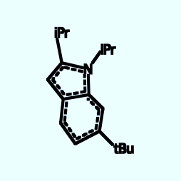 CC(C)c1cc2ccc(C(C)(C)C)cc2n1C(C)C